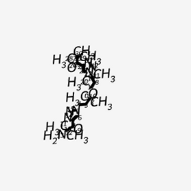 CC(C)(CCn1cc(C(=O)C(C)(C)N)nn1)OCCC(C)(C)n1cc(C(=O)C(C)(C)C)nn1